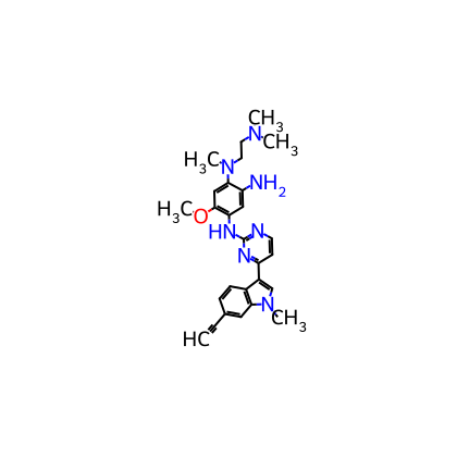 C#Cc1ccc2c(-c3ccnc(Nc4cc(N)c(N(C)CCN(C)C)cc4OC)n3)cn(C)c2c1